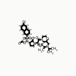 CC(C)N(CC1CN(C(=O)[C@H](C)N2CC[C@H](N(OC=O)S(=O)(=O)c3ccc4cc(Cl)ccc4c3)C2=O)CCO1)C(C)C